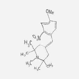 COc1ccc(C=C2CC(C)(C)N(C)C(C)(C)C2)c([N+](=O)[O-])c1